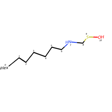 CCCCCCCCCCCCNCSO